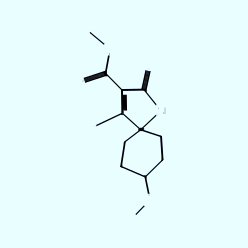 COC(=O)C1=C(O)C2(CCC(OC)CC2)NC1=O